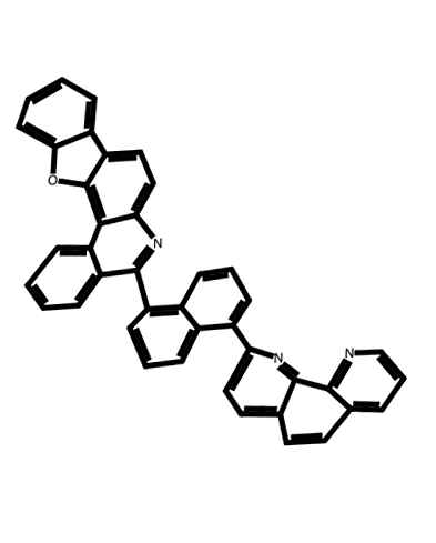 c1cnc2c(c1)ccc1ccc(-c3cccc4c(-c5nc6ccc7c8ccccc8oc7c6c6ccccc56)cccc34)nc12